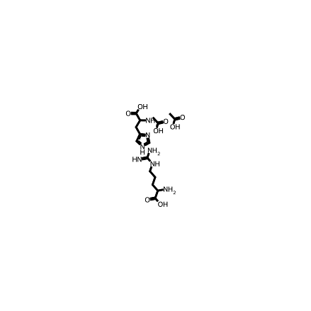 CC(=O)O.CC(=O)O.N=C(N)NCCCC(N)C(=O)O.NC(Cc1c[nH]cn1)C(=O)O